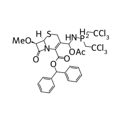 CO[C@@H]1C(=O)N2C(C(=O)OC(c3ccccc3)c3ccccc3)=C(C(N[PH2](CC(Cl)(Cl)Cl)CC(Cl)(Cl)Cl)OC(C)=O)CS[C@H]12